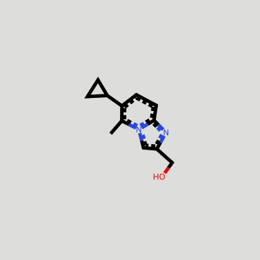 Cc1c(C2CC2)ccc2nc(CO)cn12